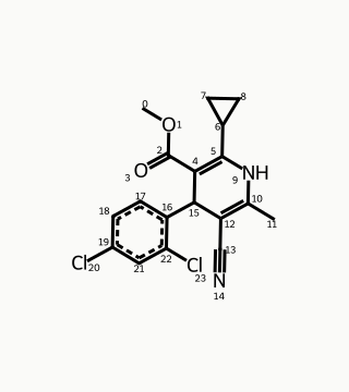 COC(=O)C1=C(C2CC2)NC(C)=C(C#N)C1c1ccc(Cl)cc1Cl